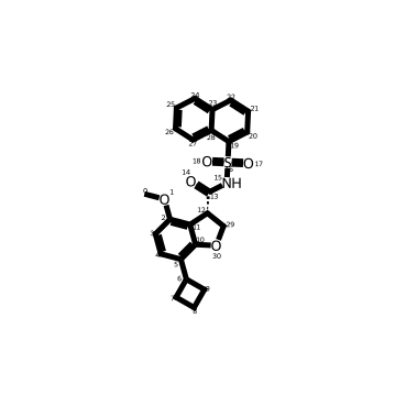 COc1ccc(C2CCC2)c2c1[C@H](C(=O)NS(=O)(=O)c1cccc3ccccc13)CO2